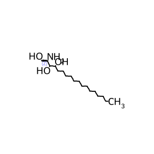 CCCCCCCCCCCCCCC(O)C(O)/C(N)=C/O